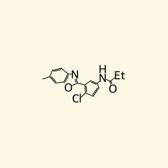 CCC(=O)Nc1ccc(Cl)c(-c2nc3ccc(C)cc3o2)c1